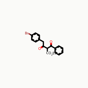 CCOC(=O)C(C(=O)Cc1ccc(Br)cc1)C(=O)c1ccccc1